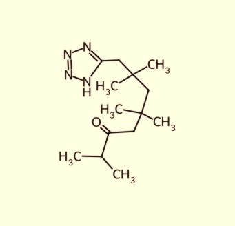 CC(C)C(=O)CC(C)(C)CC(C)(C)Cc1nnn[nH]1